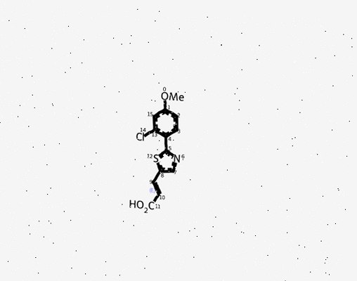 COc1ccc(-c2ncc(/C=C/C(=O)O)s2)c(Cl)c1